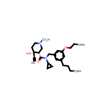 C#C[C@@]1(O)CCN(C(=O)O)C[C@@H]1C(=O)N(Cc1cc(CCCOC)cc(OCCOC)c1)C1CC1